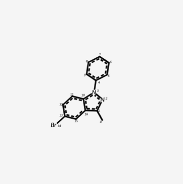 Cc1nn(-c2ccccc2)c2ccc(Br)cc12